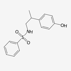 CC(CNS(=O)(=O)c1ccccc1)c1ccc(O)cc1